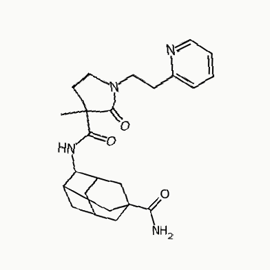 CC1(C(=O)NC2C3CC4CC2CC(C(N)=O)(C4)C3)CCN(CCc2ccccn2)C1=O